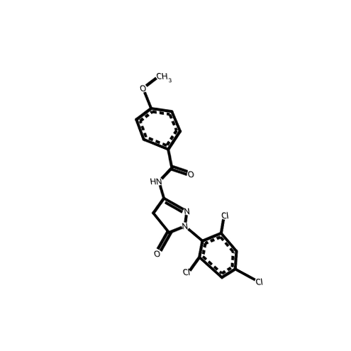 COc1ccc(C(=O)NC2=NN(c3c(Cl)cc(Cl)cc3Cl)C(=O)C2)cc1